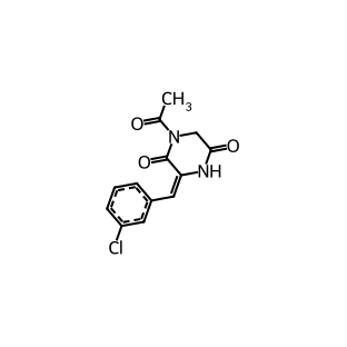 CC(=O)N1CC(=O)NC(=Cc2cccc(Cl)c2)C1=O